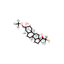 [2H]C([2H])([2H])OC[C@@]1(O)CC[C@@]2(C)[C@@H](CC[C@@H]3[C@@H]2CC[C@@]2(C)[C@H]3CC[C@]2([2H])C(=O)C([2H])([2H])Br)C1